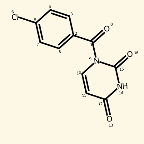 O=C(c1ccc(Cl)cc1)n1ccc(=O)[nH]c1=O